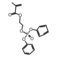 C=C(C)C(=O)OCCOP(=O)(Oc1ccccc1)Oc1ccccc1